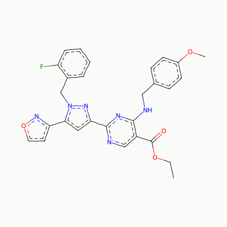 CCOC(=O)c1cnc(-c2cc(-c3ccon3)n(Cc3ccccc3F)n2)nc1NCc1ccc(OC)cc1